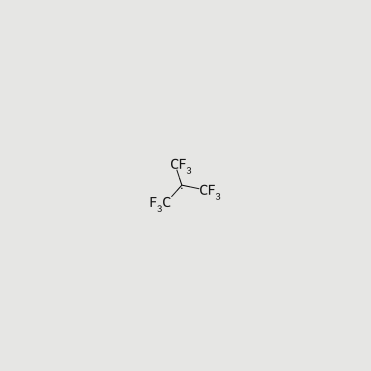 FC(F)(F)[C](C(F)(F)F)C(F)(F)F